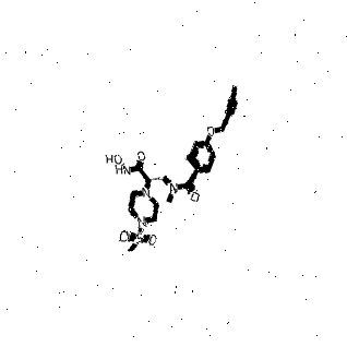 CC#CCOc1ccc(C(=O)N(C)C[C@@H](C(=O)NO)N2CCN(S(C)(=O)=O)CC2)cc1